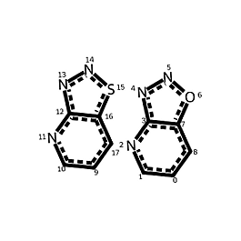 c1cnc2nnoc2c1.c1cnc2nnsc2c1